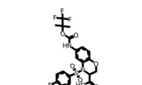 CC(C)(OC(=O)Nc1ccc2c(c1)N(S(=O)(=O)c1ccc(F)cc1)C(C(=O)O)CO2)C(F)(F)F